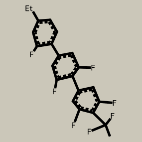 CCc1ccc(-c2cc(F)c(-c3cc(F)c(C(C)(F)F)c(F)c3)c(F)c2)c(F)c1